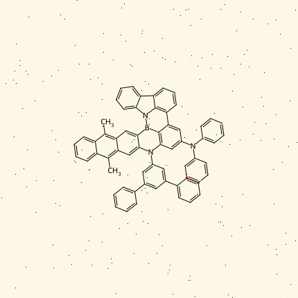 Cc1c2ccccc2c(C)c2cc3c(cc12)B1c2c(cc(N(c4ccccc4)c4ccccc4)cc2N3c2cc(-c3ccccc3)cc(-c3ccccc3)c2)-c2cccc3c4ccccc4n1c23